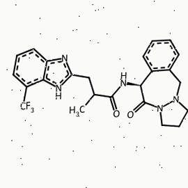 CC(Cc1nc2cccc(C(F)(F)F)c2[nH]1)C(=O)N[C@@H]1C(=O)N2CCCN2Cc2ccccc21